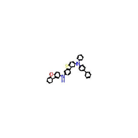 c1ccc(-c2ccc(N(c3ccccc3)c3ccc4sc5cc(Nc6ccc7oc8ccccc8c7c6)ccc5c4c3)cc2)cc1